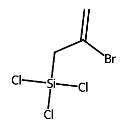 C=C(Br)C[Si](Cl)(Cl)Cl